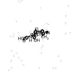 Cc1cc(-n2ccnc2)c2cccc(OCc3c(Cl)ccc(S(=O)(=O)N4C[C@@H](O)CC4C(=O)NCC4CCN(C(=O)O)CC4)c3Cl)c2n1